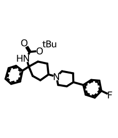 CC(C)(C)OC(=O)NC1(c2ccccc2)CCC(N2CCC(c3ccc(F)cc3)CC2)CC1